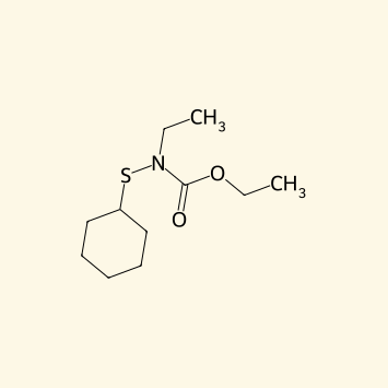 CCOC(=O)N(CC)SC1CCCCC1